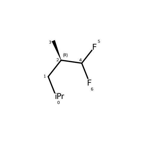 CC(C)C[C@@H](C)C(F)F